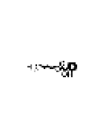 CCCCCCOC(=O)C(O)c1ccccc1